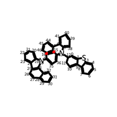 C1=c2sc3ccccc3c2=CCC1N(c1ccc(-n2c3ccccc3c3ccc4ccccc4c32)cc1)c1ccccc1-c1ccccc1